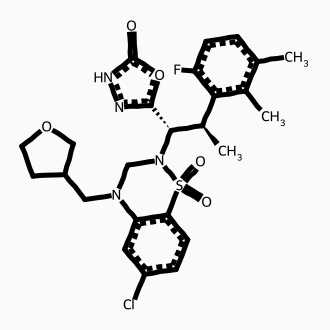 Cc1ccc(F)c([C@@H](C)[C@@H](c2n[nH]c(=O)o2)N2CN(CC3CCOC3)c3cc(Cl)ccc3S2(=O)=O)c1C